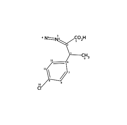 CC(C(=[N+]=[N-])C(=O)O)c1ccc(Cl)cc1